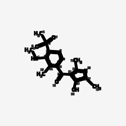 CNc1c(S(C)(=O)=O)ccc(C(=O)c2c(C)nn(C)c2O)c1C